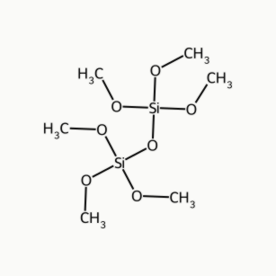 CO[Si](OC)(OC)O[Si](OC)(OC)OC